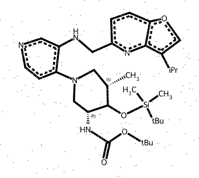 CC(C)c1coc2ccc(CNc3cnccc3N3C[C@H](C)C(O[Si](C)(C)C(C)(C)C)[C@H](NC(=O)OC(C)(C)C)C3)nc12